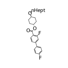 CCCCCCCO[C@H]1CC[C@H](OC(=O)c2ccc(-c3ccc(F)cc3)cc2F)CC1